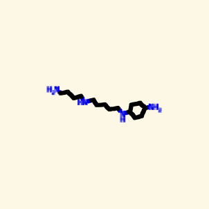 NCCCCNCCCCCNC1CCC(N)CC1